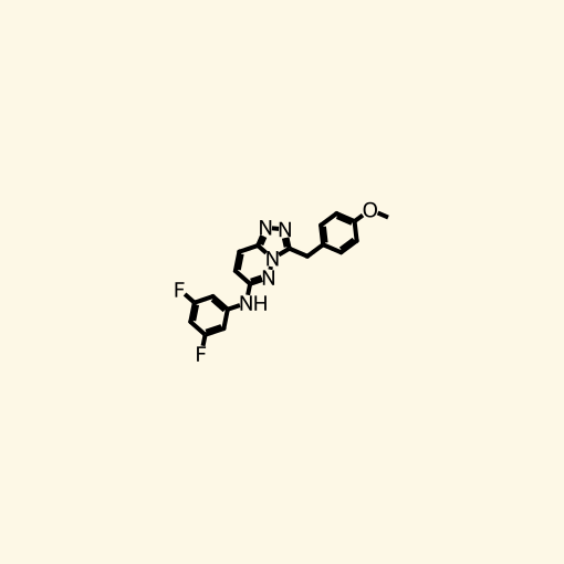 COc1ccc(Cc2nnc3ccc(Nc4cc(F)cc(F)c4)nn23)cc1